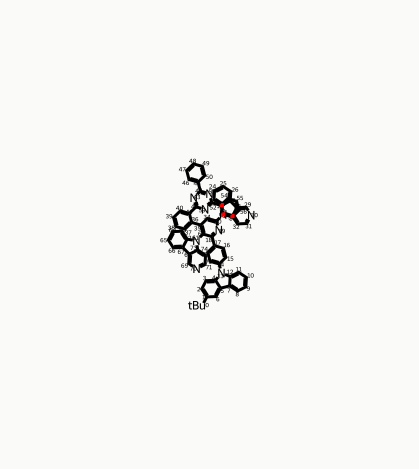 CC(C)(C)c1ccc2c(c1)c1ccccc1n2-c1ccc(-c2nc(-n3c4ccccc4c4cnccc43)cc(-c3ccccc3-c3nc(-c4ccccc4)nc(-c4ccccc4)n3)c2-n2c3ccccc3c3cnccc32)cc1